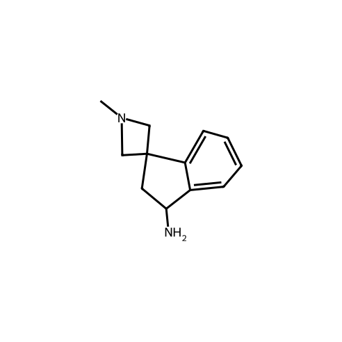 CN1CC2(CC(N)c3ccccc32)C1